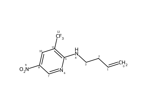 C=CCCNc1ncc([N+](=O)[O-])cc1C(F)(F)F